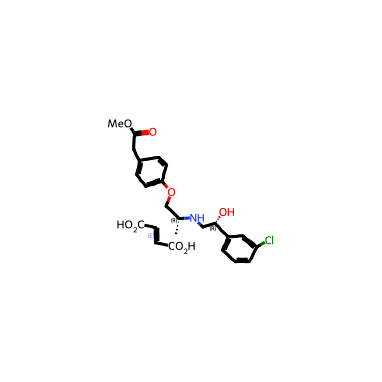 COC(=O)Cc1ccc(OC[C@@H](C)NC[C@H](O)c2cccc(Cl)c2)cc1.O=C(O)/C=C/C(=O)O